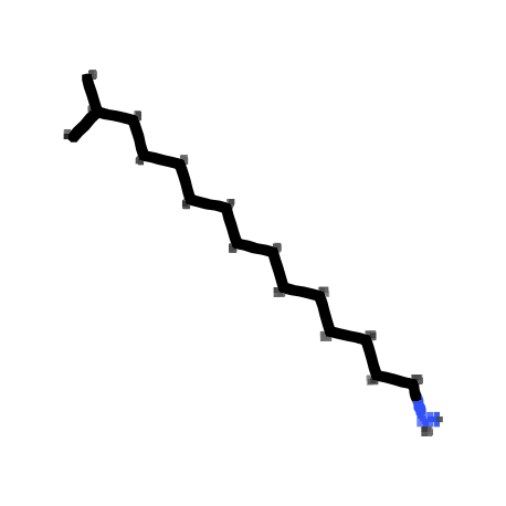 CC(C)CCCCCCCCCCCCC[NH]